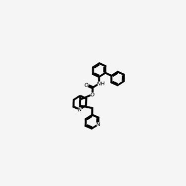 O=C(Nc1ccccc1-c1ccccc1)OC1C2CCN(CC2)C1Cc1cccnc1